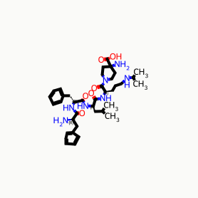 CC(C)C[C@@H](NC(=O)[C@@H](Cc1ccccc1)NC(=O)[C@H](N)Cc1ccccc1)C(=O)N[C@H](CCCNC(C)C)C(=O)N1CCC(N)(C(=O)O)CC1